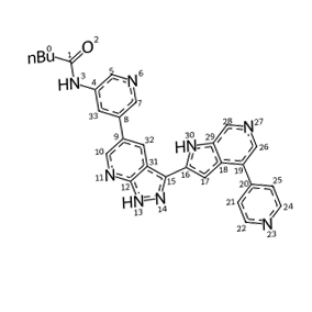 CCCCC(=O)Nc1cncc(-c2cnc3[nH]nc(-c4cc5c(-c6ccncc6)cncc5[nH]4)c3c2)c1